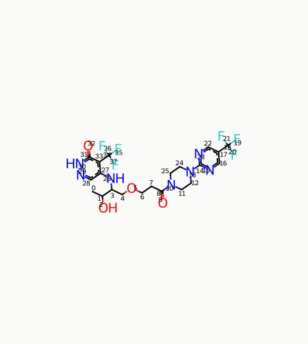 CC(O)C(COCCC(=O)N1CCN(c2ncc(C(F)(F)F)cn2)CC1)Nc1cn[nH]c(=O)c1C(F)(F)F